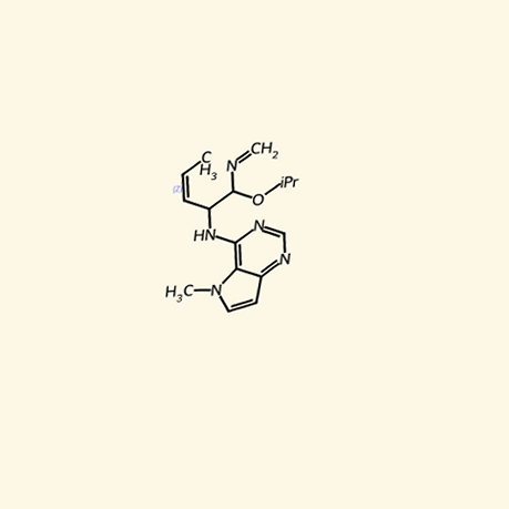 C=NC(OC(C)C)C(/C=C\C)Nc1ncnc2ccn(C)c12